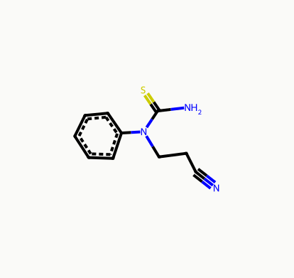 N#CCCN(C(N)=S)c1ccccc1